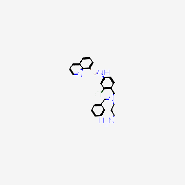 NCCCN(Cc1ccccc1)Cc1ccc(NSc2cccc3cccnc23)cc1Cl